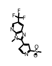 Cn1c(-c2ccnc(S(C)(=O)=O)c2)nc2cc(C(F)(F)F)cnc21